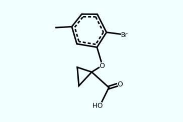 Cc1ccc(Br)c(OC2(C(=O)O)CC2)c1